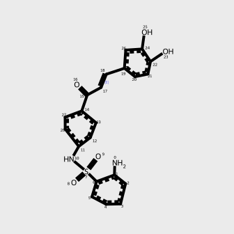 Nc1ccccc1S(=O)(=O)Nc1ccc(C(=O)/C=C/c2ccc(O)c(O)c2)cc1